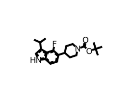 CC(C)c1c[nH]c2ccc(C3CCN(C(=O)OC(C)(C)C)CC3)c(F)c12